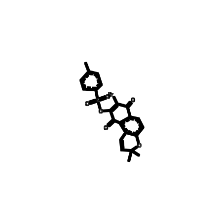 Cc1ccc(S(=O)(=O)OC2=C(Br)C(=O)c3ccc4c(c3C2=O)C=CC(C)(C)O4)cc1